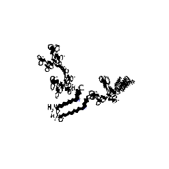 CCCC/C=C\CCCCCCCC(N)=O.CCCC/C=C\CCCCCCCC(N)=O.O=C([O-])CN(CCN(CC(=O)[O-])CC(=O)[O-])CCN(CC(=O)[O-])CC(=O)[O-].O=C([O-])CN(CCN(CC(=O)[O-])CC(=O)[O-])CCN(CC(=O)[O-])CC(=O)[O-].O=C([O-])CN(CCN(CC(=O)[O-])CC(=O)[O-])CCN(CC(=O)[O-])CC(=O)[O-].[Gd+3].[Gd+3].[Gd+3].[Gd+3].[Gd+3]